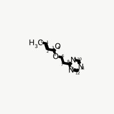 CC=CC(=O)OCCc1ncncn1